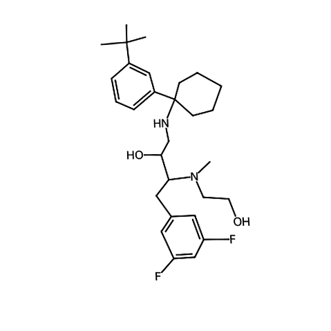 CN(CCO)C(Cc1cc(F)cc(F)c1)C(O)CNC1(c2cccc(C(C)(C)C)c2)CCCCC1